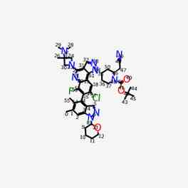 Cc1cc2c(cnn2C2CCCCO2)c(-c2c(Cl)cc3c(nc(N4CC(C)(N(C)C)C4)c4cnn([C@H]5CCN(C(=O)OC(C)(C)C)[C@H](CC#N)C5)c43)c2F)c1C